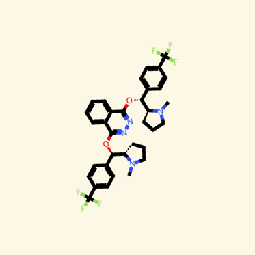 CN1CCC[C@H]1[C@H](Oc1nnc(O[C@H](c2ccc(C(F)(F)F)cc2)[C@@H]2CCCN2C)c2ccccc12)c1ccc(C(F)(F)F)cc1